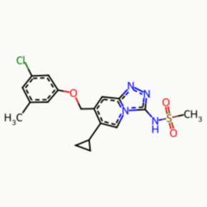 Cc1cc(Cl)cc(OCc2cc3nnc(NS(C)(=O)=O)n3cc2C2CC2)c1